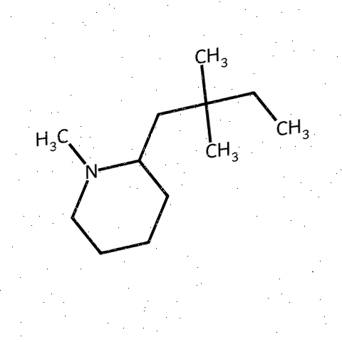 CCC(C)(C)CC1CCCCN1C